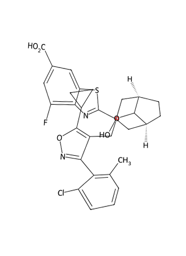 Cc1cccc(Cl)c1-c1noc(C2CC2)c1COC1[C@@H]2CC[C@H]1CC(O)(c1nc3c(F)cc(C(=O)O)cc3s1)C2